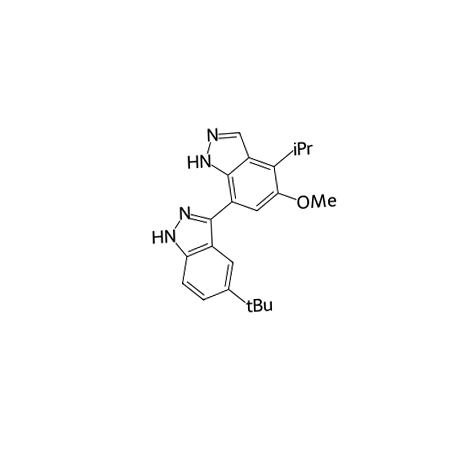 COc1cc(-c2n[nH]c3ccc(C(C)(C)C)cc23)c2[nH]ncc2c1C(C)C